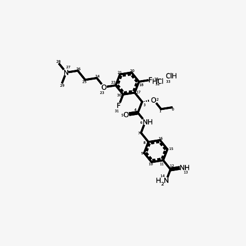 CCO[C@H](C(=O)NCc1ccc(C(=N)N)cc1)c1c(F)ccc(OCCCN(C)C)c1F.Cl.Cl